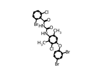 Cc1cc(Oc2ccc(Br)cc2Br)c(Cl)c(C)c1NC(=O)NC(=O)c1c(Cl)cccc1Br